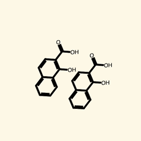 O=C(O)c1ccc2ccccc2c1O.O=C(O)c1ccc2ccccc2c1O